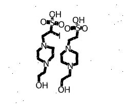 O=S(=O)(O)C(I)CN1CCN(CCO)CC1.O=S(=O)(O)CCN1CCN(CCO)CC1